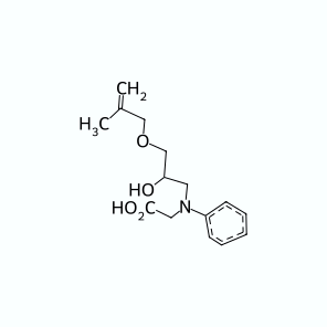 C=C(C)COCC(O)CN(CC(=O)O)c1ccccc1